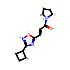 O=C(/C=C/c1nc(C2CCC2)no1)N1CCCC1